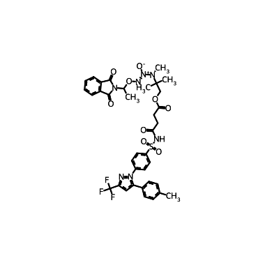 Cc1ccc(-c2cc(C(F)(F)F)nn2-c2ccc(S(=O)(=O)NC(=O)CCC(=O)OCC(C)(C)N(C)[N+]([O-])=NOC(C)N3C(=O)c4ccccc4C3=O)cc2)cc1